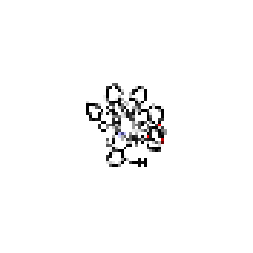 N#Cc1cccc(O/[PH]2=N/P(Oc3ccccc3)N(Oc3ccccc3)P(Oc3ccccc3)N(Oc3ccccc3)P(Oc3ccccc3)N2Oc2ccccc2)c1C#N